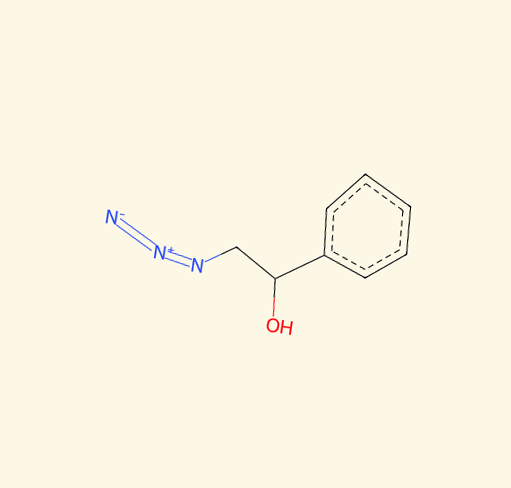 [N-]=[N+]=NCC(O)c1ccccc1